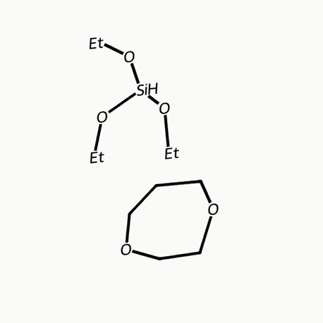 C1COCCOC1.CCO[SiH](OCC)OCC